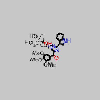 COc1cc(C(=O)c2c[nH]c(-c3c[nH]c4ccccc34)n2)cc(OC)c1OC.O=C(O)CC(O)(CC(=O)O)C(=O)O